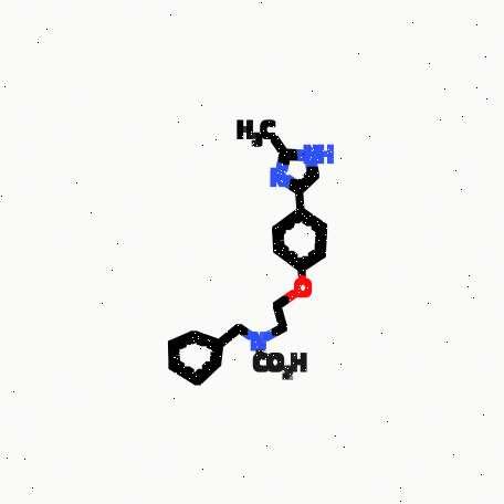 Cc1nc(-c2ccc(OCCN(Cc3ccccc3)C(=O)O)cc2)c[nH]1